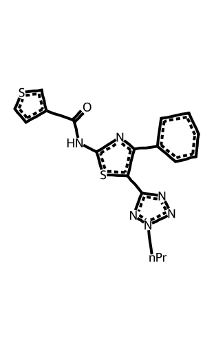 CCCn1nnc(-c2sc(NC(=O)c3ccsc3)nc2-c2ccccc2)n1